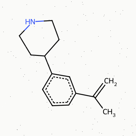 C=C(C)c1cccc(C2CCNCC2)c1